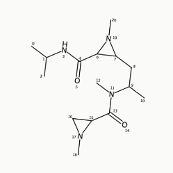 CC(C)NC(=O)C1C(CC(C)N(C)C(=O)C2CN2C)N1C